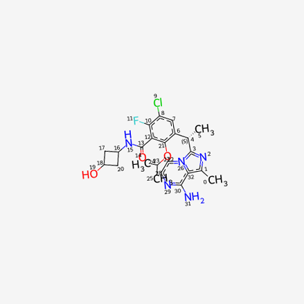 Cc1nc([C@@H](C)c2cc(Cl)c(F)c(C(=O)NC3CC(O)C3)c2OC(C)C)n2ccnc(N)c12